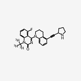 [2H]C([2H])([2H])n1c(=O)nc(N2CCCc3c(C#CC4CCCN4)cccc32)c2c(F)cccc21